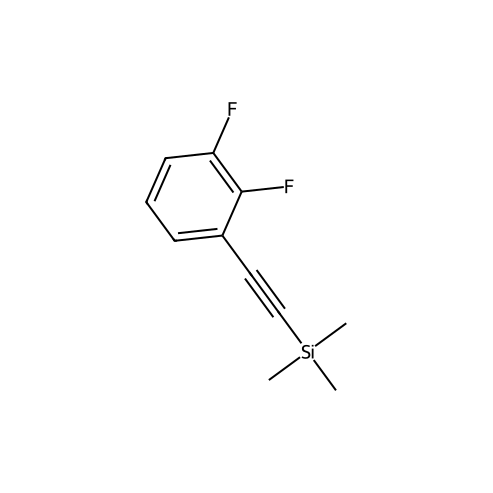 C[Si](C)(C)C#Cc1cccc(F)c1F